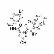 CC(C)[C@@H](C(=O)N1C[C@H](O)C[C@H]1C(=O)N[C@@H](C)c1ccc(Br)cc1)N1Cc2ccccc2C1=O